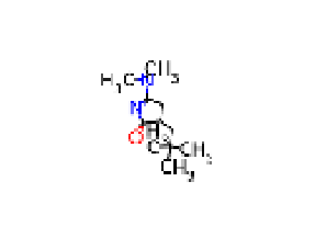 CN(C)C1=NC(=O)C(CC(C)(C)C)C1